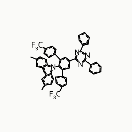 Cc1ccc2c(c1)c1cc(C)ccc1n2-c1c(-c2ccc(C(F)(F)F)cc2)cc(-c2nc(-c3ccccc3)nc(-c3ccccc3)n2)cc1-c1ccc(C(F)(F)F)cc1